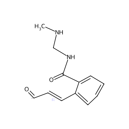 CNCNC(=O)c1ccccc1/C=C/[C]=O